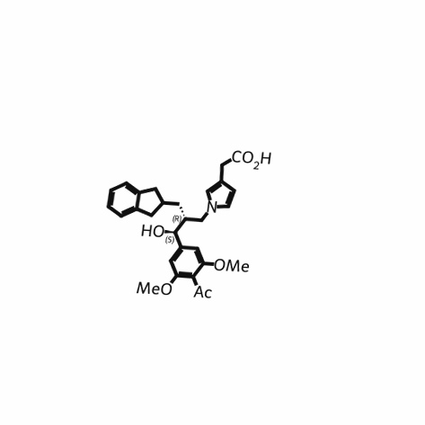 COc1cc([C@@H](O)[C@H](CC2Cc3ccccc3C2)Cn2ccc(CC(=O)O)c2)cc(OC)c1C(C)=O